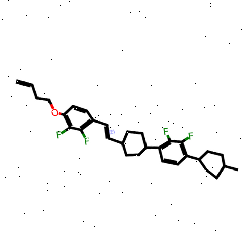 C=CCCOc1ccc(/C=C/C2CCC(c3ccc(C4CCC(C)CC4)c(F)c3F)CC2)c(F)c1F